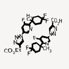 CC1(c2ncc(-n3cc(C(=O)O)nn3)cc2F)CCC(F)(F)CC1.CCOC(=O)c1cn(-c2cnc(C3(C)CCC(F)(F)CC3)c(F)c2)nn1